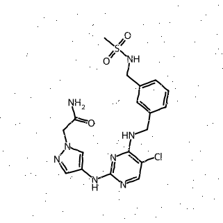 CS(=O)(=O)NCc1cccc(CNc2nc(Nc3cnn(CC(N)=O)c3)ncc2Cl)c1